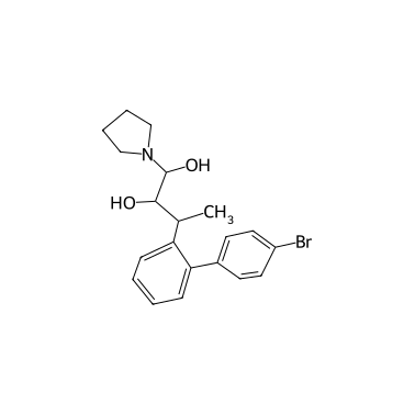 CC(c1ccccc1-c1ccc(Br)cc1)C(O)C(O)N1CCCC1